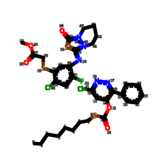 CCCCCCCCSC(=O)Oc1cc(Cl)nnc1-c1ccccc1.COC(=O)CSc1cc(/N=c2\sc(=O)n3n2CCCC3)c(F)cc1Cl